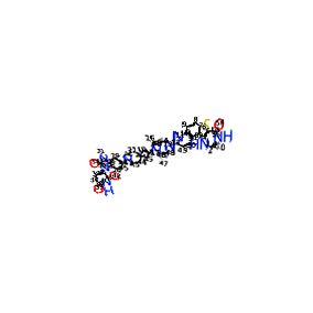 C[C@@H]1CNc2c(sc3ccc4nc(N5C[C@@H](C)N(C6CC7(CCN(c8ccc9c(c8)n(C)c(=O)n9C8CCC(=O)NC8=O)CC7)C6)[C@@H](C)C5)ccc4c23)C(=O)N1